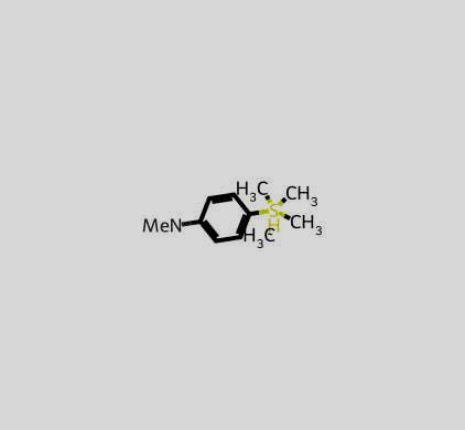 CNc1ccc([SH](C)(C)(C)C)cc1